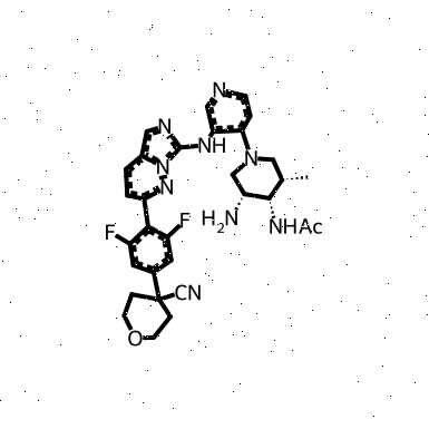 CC(=O)N[C@@H]1[C@H](N)CN(c2ccncc2Nc2ncc3ccc(-c4c(F)cc(C5(C#N)CCOCC5)cc4F)nn23)C[C@@H]1C